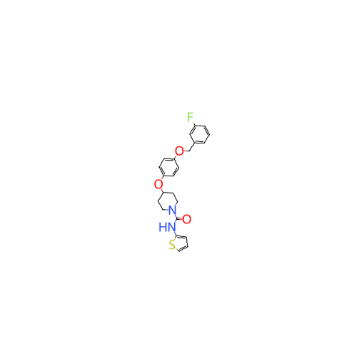 O=C(Nc1cccs1)N1CCC(Oc2ccc(OCc3cccc(F)c3)cc2)CC1